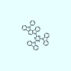 c1ccc(-n2c3ccccc3c3ccc4c(c5ccccc5n4-c4nc(-n5c6ccccc6c6ccccc65)nc(-n5c6ccccc6c6ccccc65)n4)c32)cc1